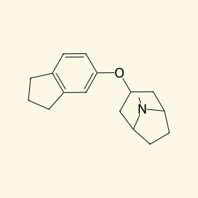 CN1C2CCC1CC(Oc1ccc3c(c1)CCC3)C2